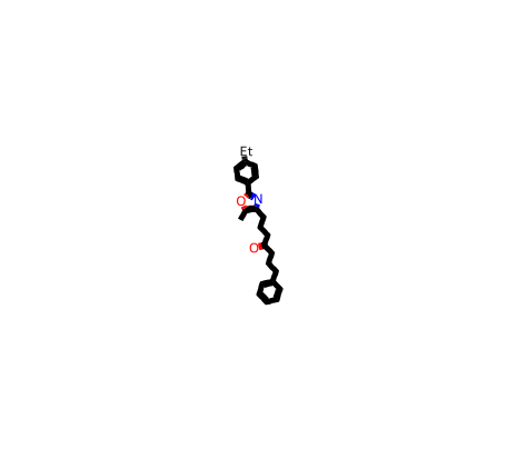 CCc1ccc(-c2nc(CCCC(=O)CCCc3ccccc3)c(C)o2)cc1